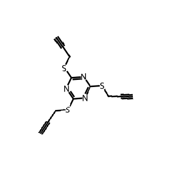 C#CCSc1nc(SCC#C)nc(SCC#C)n1